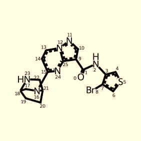 O=C(Nc1cscc1Br)c1cnn2ccc(N3CC4CCC3CN4)nc12